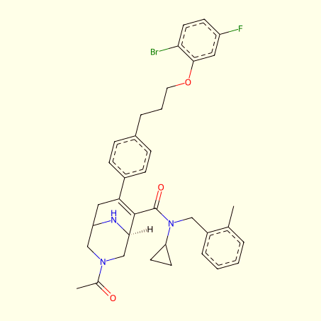 CC(=O)N1CC2CC(c3ccc(CCCOc4cc(F)ccc4Br)cc3)=C(C(=O)N(Cc3ccccc3C)C3CC3)[C@@H](C1)N2